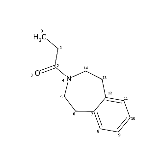 CCC(=O)N1CCc2ccccc2CC1